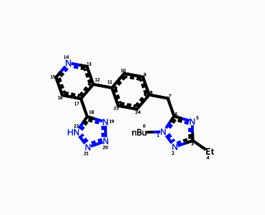 CCCCn1nc(CC)nc1Cc1ccc(-c2cnccc2-c2nnn[nH]2)cc1